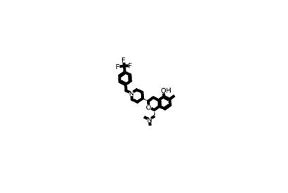 Cc1ccc2c(c1O)C[C@@H](C1CCN(Cc3ccc(C(F)(F)F)cc3)CC1)O[C@H]2CN(C)C